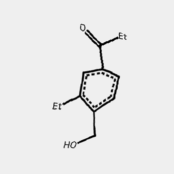 CCC(=O)c1ccc(CO)c(CC)c1